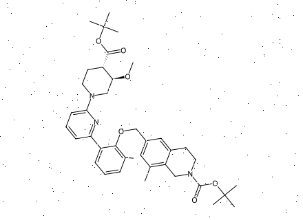 CO[C@H]1CN(c2cccc(-c3cccc(C)c3OCc3cc(C)c4c(c3)CCN(C(=O)OC(C)(C)C)C4)n2)CC[C@@H]1C(=O)OC(C)(C)C